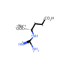 N=C(N)N[C@@H](CCC(=O)O)C(=O)[O-].[Na+]